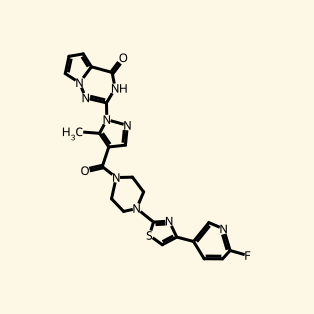 Cc1c(C(=O)N2CCN(c3nc(-c4ccc(F)nc4)cs3)CC2)cnn1-c1nn2cccc2c(=O)[nH]1